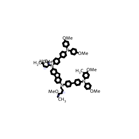 C=C(/C=C\C(=C/C)N(c1ccc(-c2ccc(N(c3ccc(OC)cc3)c3ccc(OC)cc3)cc2)cc1)c1ccc2c(c1)Cc1cc(N(C/C=C\C(=C/C)OC)c3ccc(-c4ccc(N(c5ccc(OC)cc5)c5ccc(OC)c(C)c5)cc4)cc3)ccc1-2)OC